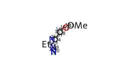 CCC(c1ccc(-c2ccc(COCOC)cc2)cn1)n1ccnc1